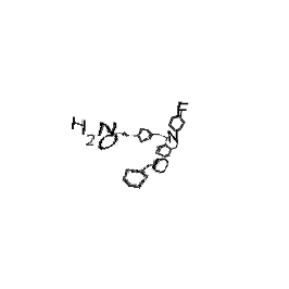 NC(=O)C=Cc1ccc(CC2c3ccc(OCc4ccccc4)cc3CCN2c2ccc(F)cc2)cc1